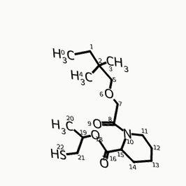 CCC(C)(C)COCC(=O)N1CCCCC1C(=O)OC(C)CS